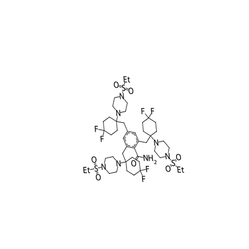 CCS(=O)(=O)N1CCN(C2(Cc3cc(CC4(N5CCN(S(=O)(=O)CC)CC5)CCC(F)(F)CC4)c(C(N)=O)c(CC4(N5CCN(S(=O)(=O)CC)CC5)CCC(F)(F)CC4)c3)CCC(F)(F)CC2)CC1